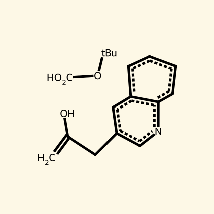 C=C(O)Cc1cnc2ccccc2c1.CC(C)(C)OC(=O)O